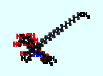 CCCCCCCCCCCCCCCCCCCCCCCC(=O)N(CC(=O)NCC(OC)OC)[C@@H](CO[C@H]1OC(CO)[C@H](O)C(O)C1O)[C@H](O)CC